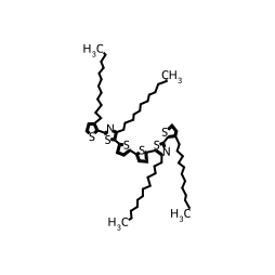 CCCCCCCCCCCCc1ccsc1-c1nc(CCCCCCCCCCCC)c(-c2ccc(-c3ccc(-c4sc(-c5sccc5CCCCCCCCCCCC)nc4CCCCCCCCCCCC)s3)s2)s1